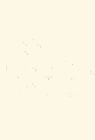 COC(=O)c1cc(C)nc(N(Cc2nnc[nH]2)Cc2ccc(F)cc2F)[n+]1Cc1ccc(C#N)cc1